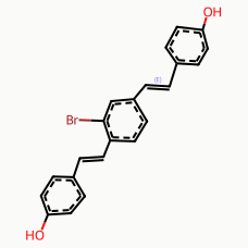 Oc1ccc(C=Cc2ccc(/C=C/c3ccc(O)cc3)cc2Br)cc1